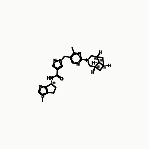 Cc1nc(N2C[C@H]3C[C@@H]4C[C@@H](C2)[C@@H]43)ncc1Cn1cc(C(=O)N[C@@H]2CCc3c2ncn3C)cn1